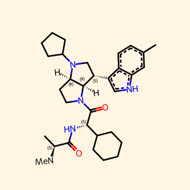 CN[C@@H](C)C(=O)N[C@H](C(=O)N1CC[C@@H]2[C@H]1[C@@H](c1c[nH]c3cc(C)ccc13)CN2C1CCCC1)C1CCCCC1